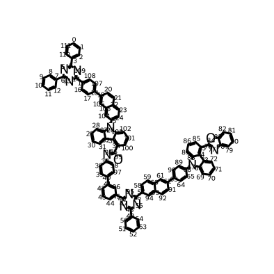 c1ccc(-c2nc(-c3ccccc3)nc(-c3ccc(-c4ccc5ccc(-n6c7ccccc7c7c(-c8nc9ccc(-c%10cccc(-c%11nc(-c%12ccccc%12)nc(-c%12ccc%13cc(-c%14ccc(-n%15c%16ccccc%16c%16c(-c%17nc%18ccccc%18o%17)cccc%16%15)cc%14)ccc%13c%12)n%11)c%10)cc9o8)cccc76)cc5c4)cc3)n2)cc1